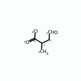 CC(CC=O)C(=O)Cl